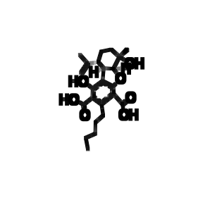 C=C(C)[C@@H]1CC[C@](C)(O)[C@H]2Oc3c(C(=O)O)c(CCCCC)c(C(=O)O)c(O)c3[C@@H]12